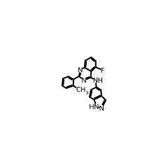 Cc1ccccc1-c1nc(Nc2ccc3[nH]ncc3c2)c2c(F)cccc2n1